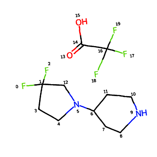 FC1(F)CCN(C2CCNCC2)C1.O=C(O)C(F)(F)F